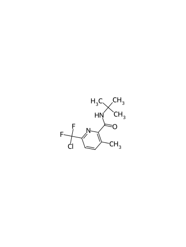 Cc1ccc(C(F)(F)Cl)nc1C(=O)NC(C)(C)C